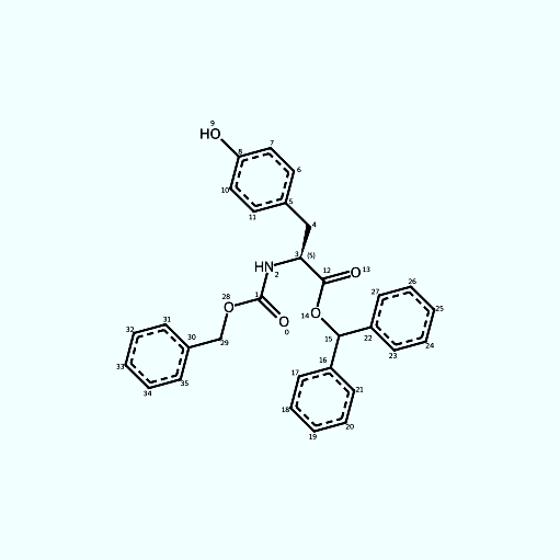 O=C(N[C@@H](Cc1ccc(O)cc1)C(=O)OC(c1ccccc1)c1ccccc1)OCc1ccccc1